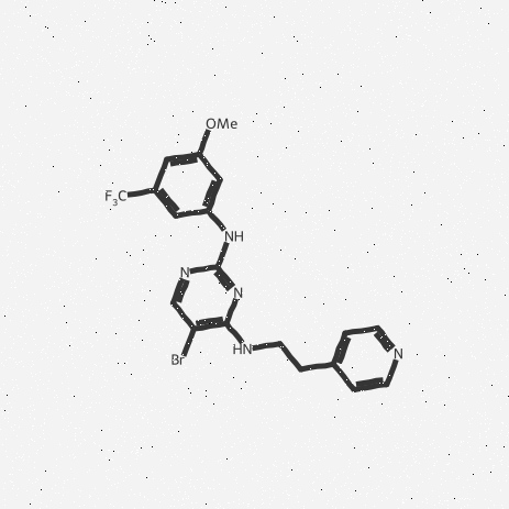 COc1cc(Nc2ncc(Br)c(NCCc3ccncc3)n2)cc(C(F)(F)F)c1